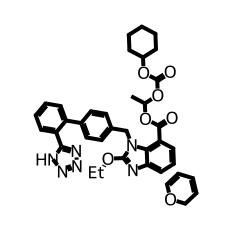 C1=CCOC=C1.CCOc1nc2cccc(C(=O)OC(C)OC(=O)OC3CCCCC3)c2n1Cc1ccc(-c2ccccc2-c2nnn[nH]2)cc1